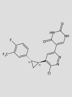 O=c1[nH]cc(-c2cc([C@H]3C[C@@H]3c3ccc(F)c(C(F)(F)F)c3)c(Cl)nn2)c(=O)[nH]1